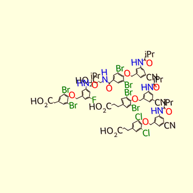 CC(C)C(=O)Nc1cc(C#N)cc(COc2c(Br)cc(C(=O)NCC(=O)O)cc2Br)c1.CC(C)C(=O)Nc1cc(C#N)cc(COc2c(Br)cc(CCC(=O)O)cc2Br)c1.CC(C)C(=O)Nc1cc(C#N)cc(COc2c(Cl)cc(CCC(=O)O)cc2Cl)c1.CC(C)C(=O)Nc1cc(F)cc(COc2c(Br)cc(CC(=O)O)cc2Br)c1